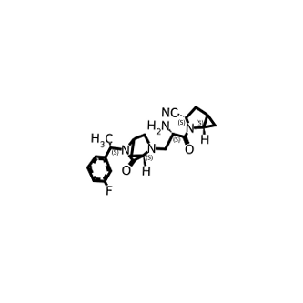 C[C@@H](c1cccc(F)c1)N1C(=O)[C@@H]2CC1CN2C[C@H](N)C(=O)N1[C@H](C#N)CC2C[C@@H]21